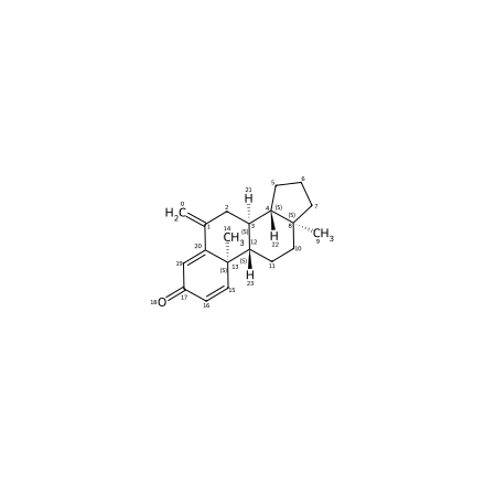 C=C1C[C@H]2[C@@H]3CCC[C@@]3(C)CC[C@@H]2[C@@]2(C)C=CC(=O)C=C12